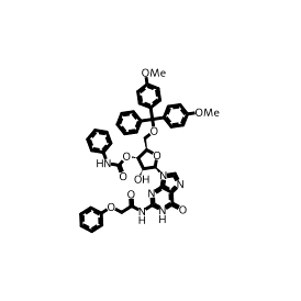 COc1ccc(C(OC[C@H]2O[C@@H](n3cnc4c(=O)[nH]c(NC(=O)COc5ccccc5)nc43)[C@H](O)[C@@H]2OC(=O)Nc2ccccc2)(c2ccccc2)c2ccc(OC)cc2)cc1